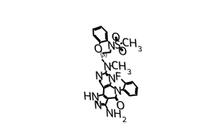 CN(C[C@H]1CN(S(C)(=O)=O)c2ccccc2O1)c1ncc2c3[nH]nc(N)c3c(=O)n(-c3ccccc3F)c2n1